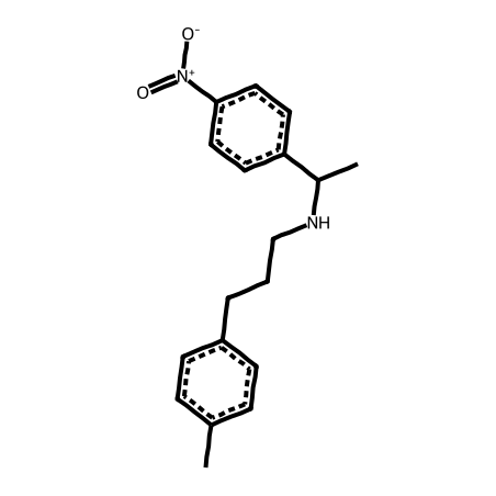 Cc1ccc(CCCNC(C)c2ccc([N+](=O)[O-])cc2)cc1